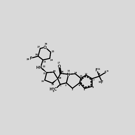 CC1C2Cc3ccc(C(F)(F)F)cc3CN2C(=O)[C@]12CC[C@@H](NC1CCOCC1F)C2